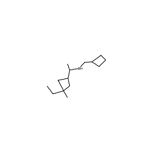 CCC1(C)CC(C(C)BCC2CCC2)C1